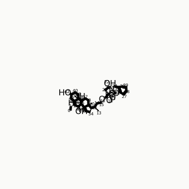 CC[C@H]1[C@@H](O)[C@@H]2[C@H](CC[C@]3(C)[C@@H]([C@H](C)CCOC(=O)N4CC(O)N(Cc5ccccc5)S4(=O)=O)CC[C@@H]23)[C@@]2(C)CC[C@@H](O)C[C@@H]12